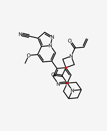 C=CC(=O)N1CC(C(=O)N2CC3CC(C2)N3c2ccc(-c3cc(OC)c4c(C#N)cnn4c3)cn2)C1